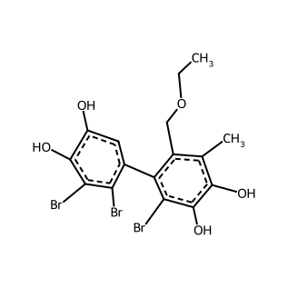 CCOCc1c(C)c(O)c(O)c(Br)c1-c1cc(O)c(O)c(Br)c1Br